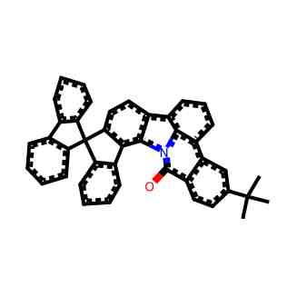 CC(C)(C)c1ccc2c(=O)n3c4c5c(ccc4c4cccc(c2c1)c43)C1(c2ccccc2-c2ccccc21)c1ccccc1-5